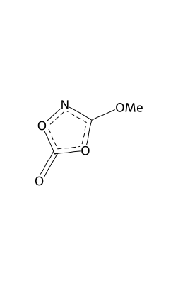 COc1noc(=O)o1